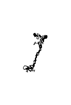 CNC(=O)COCCCOCCCCOCCCOc1ccc(Nc2ncc(C3CCC3)c(NCCN(C)C(=O)C3CCC3)n2)cc1